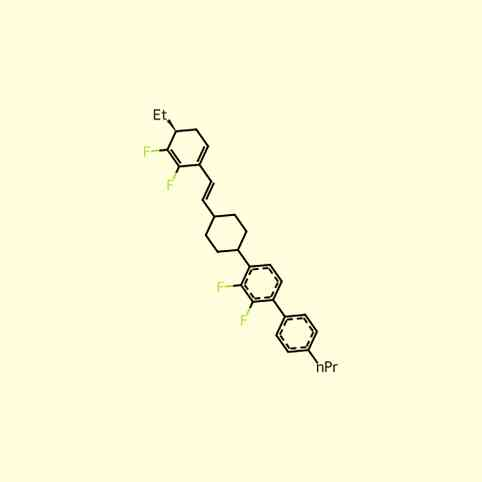 CCCc1ccc(-c2ccc(C3CCC(/C=C/C4=CC[C@H](CC)C(F)=C4F)CC3)c(F)c2F)cc1